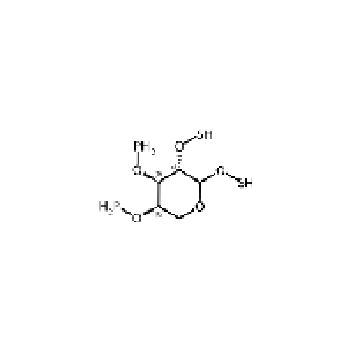 PO[C@H]1[C@H](OS)C(OS)OC[C@H]1OP